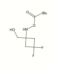 CC(C)(C)C(=O)ONC1(CO)CC(F)(F)C1